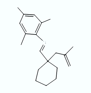 C=C(C)CC1(C=Nc2c(C)cc(C)cc2C)CCCCC1